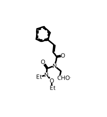 CCON(CC)C(=O)N(C[C]=O)C(=O)C=Cc1ccccc1